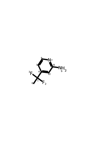 CC(F)(F)c1ccnc(N)c1